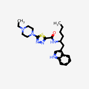 CCCCC(Cc1c[nH]c2ccccc12)NC(=O)c1nnc(N2CCN(CC)CC2)s1